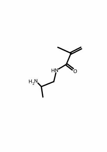 C=C(C)C(=O)NCC(C)N